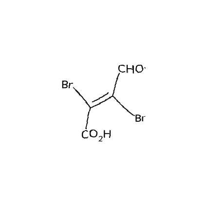 O=[C]C(Br)=C(Br)C(=O)O